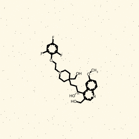 COc1ccc2ncc(CO)c([C@H](O)CCC3(CO)CCN(CCOc4c(F)cc(F)cc4F)CC3)c2c1